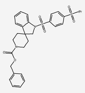 CC(C)S(=O)(=O)c1ccc(S(=O)(=O)N2CC3(CCN(C(=O)OCc4ccccc4)CC3)c3ccccc32)cc1